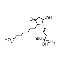 CCCCC(C)(O)C/C=C/[C@H]1C(O)CC(=O)[C@@H]1CCCCCCC(=O)O